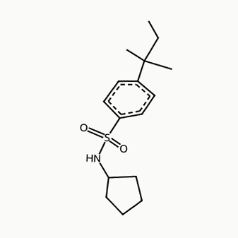 CCC(C)(C)c1ccc(S(=O)(=O)NC2CCCC2)cc1